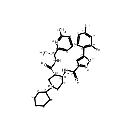 Cc1cccc([C@@H](C)NC(=O)[C@H]2CN(C3CCCCC3)CC[C@@H]2NC(=O)c2cc(-c3ccc(F)cc3F)on2)n1